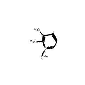 COc1ccc[si](OC)c1OC